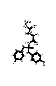 C[C@H](NC(=O)OC(C)(C)C)C(=O)NC(C)(Cc1ccc(F)cc1)Cc1ccc(F)cc1